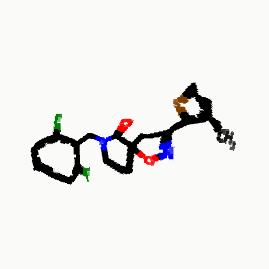 Cc1ccsc1C1=NOC2(CCN(Cc3c(F)cccc3F)C2=O)C1